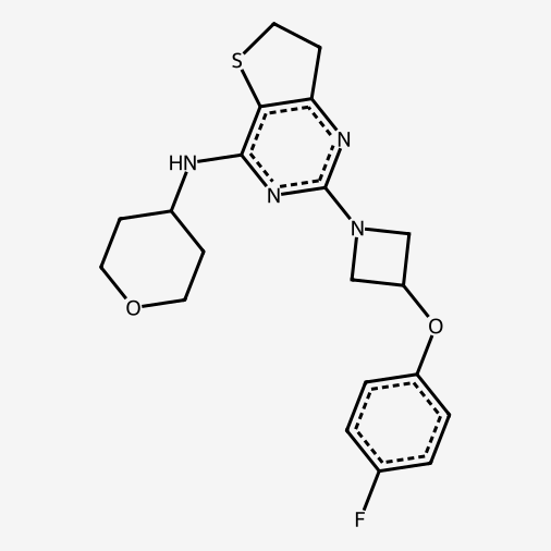 Fc1ccc(OC2CN(c3nc4c(c(NC5CCOCC5)n3)SCC4)C2)cc1